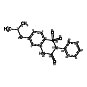 CC(C)Oc1ccc2c(c1)NC(=O)N(c1ccccn1)S2(=O)=O